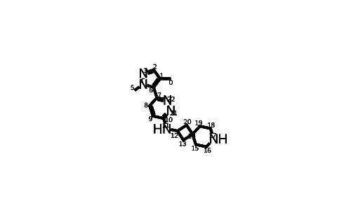 Cc1cnn(C)c1-c1ccc(NC2CC3(CCNCC3)C2)nn1